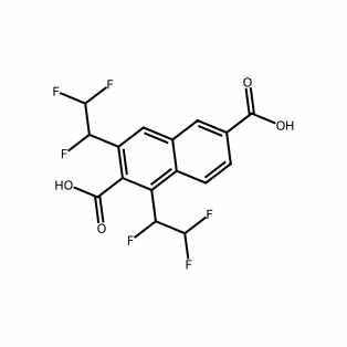 O=C(O)c1ccc2c(C(F)C(F)F)c(C(=O)O)c(C(F)C(F)F)cc2c1